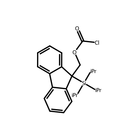 CC(C)[Si](C(C)C)(C(C)C)C1(COC(=O)Cl)c2ccccc2-c2ccccc21